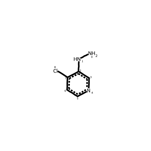 NNc1cnccc1Cl